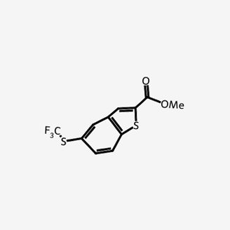 COC(=O)c1cc2cc(SC(F)(F)F)ccc2s1